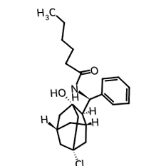 CCCCCC(=O)N[C@@H](c1ccccc1)[C@H]1[C@H]2C[C@@H]3C[C@](Cl)(C2)C[C@@]1(O)C3